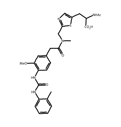 COc1cc(CC(=O)N(C)Cc2ncc(CC(NC(C)=O)C(=O)O)s2)ccc1NC(=O)Nc1ccccc1C